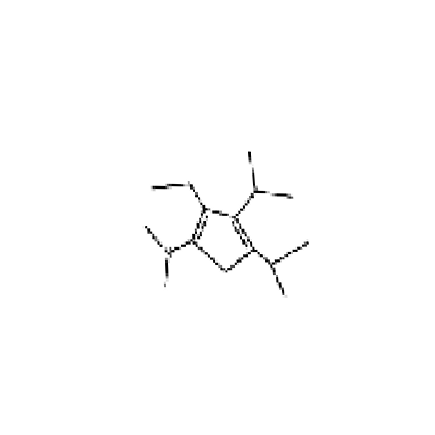 CCC1=C(N(C)C)CC(C(C)C)=C1C(C)C